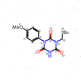 COc1ccc(-n2c(=O)[nH]c(=O)n(CC(C)(C)C)c2=O)cc1